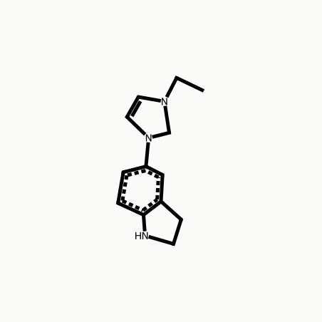 CCN1C=CN(c2ccc3c(c2)CCN3)C1